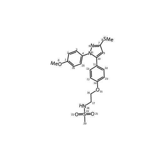 COc1ccc(-n2nc(SC)cc2-c2ccc(OCCNS(C)(=O)=O)cc2)cc1